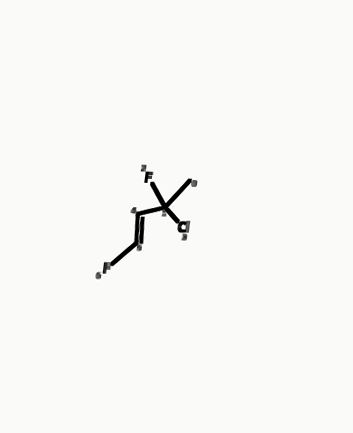 CC(F)(Cl)C=CF